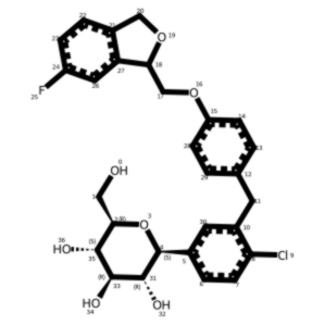 OC[C@H]1O[C@@H](c2ccc(Cl)c(Cc3ccc(OCC4OCc5ccc(F)cc54)cc3)c2)[C@H](O)[C@@H](O)[C@@H]1O